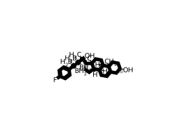 BC(B)(c1ccc(F)cc1)C(B)(B)[C@](C)(O)[C@H]1CC[C@H]2[C@@H]3CC=C4C[C@@H](O)CC[C@]4(C)[C@H]3CC[C@@]21C